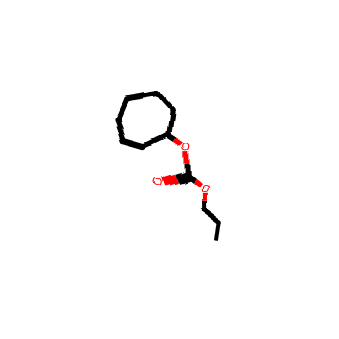 CC[CH]OC(=O)OC1CCCCCC1